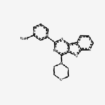 CNc1cccc(-c2nc(N3CCOCC3)c3oc4ncccc4c3n2)c1